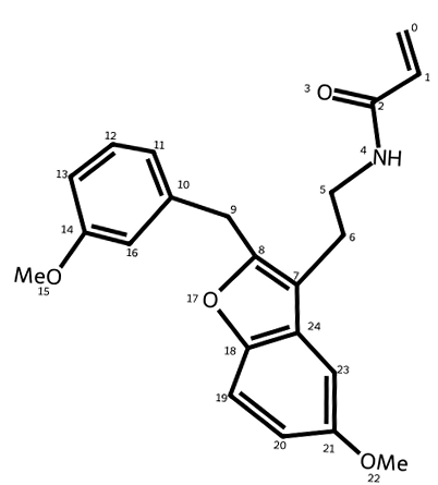 C=CC(=O)NCCc1c(Cc2cccc(OC)c2)oc2ccc(OC)cc12